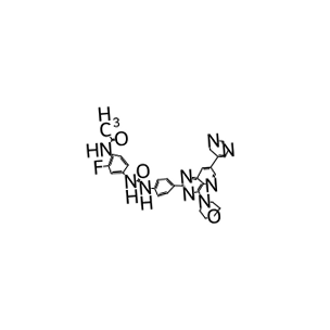 CC(=O)Nc1ccc(NC(=O)Nc2ccc(-c3nc(N4CCOCC4)c4ncc(-c5cncnc5)cc4n3)cc2)cc1F